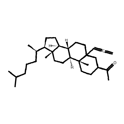 C=C=CC12CC[C@H]3[C@@H]4CC[C@H]([C@H](C)CCCC(C)C)[C@@]4(C)CC[C@@H]3[C@@]1(C)CCC(C(C)=O)C2